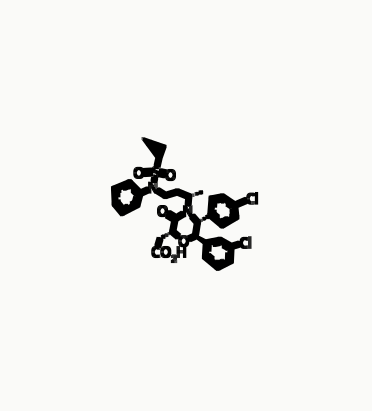 C[C@@H](CCN(c1ccccc1)S(=O)(=O)C1CC1)N1C(=O)[C@@H](CC(=O)O)O[C@H](c2cccc(Cl)c2)[C@H]1c1ccc(Cl)cc1